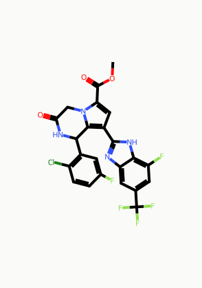 COC(=O)c1cc(-c2nc3cc(C(F)(F)F)cc(F)c3[nH]2)c2n1CC(=O)NC2c1cc(F)ccc1Cl